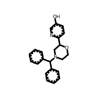 Oc1ccc(C2CN(C(c3ccccc3)c3ccccc3)CCO2)nc1